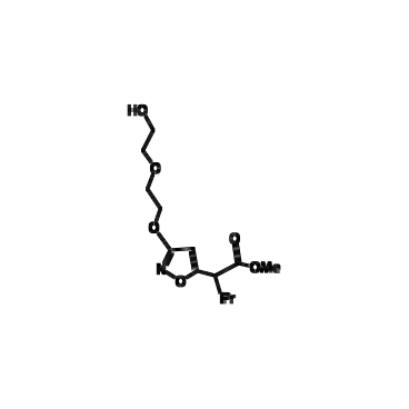 COC(=O)C(c1cc(OCCOCCO)no1)C(C)C